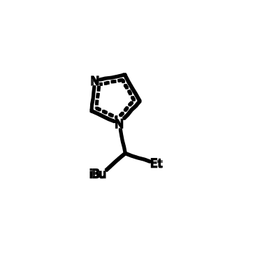 CCC(C)C(CC)n1ccnc1